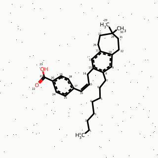 CCCCCCCCc1cc2c(cc1C/C=C\c1ccc(C(=O)O)cc1)CCC(C)(C)CC2